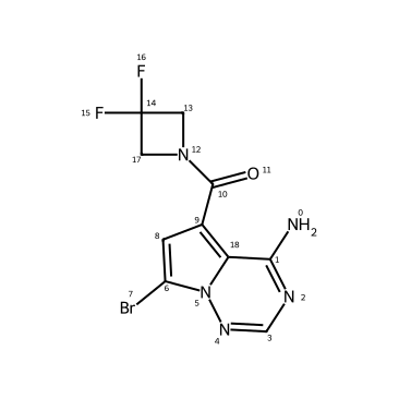 Nc1ncnn2c(Br)cc(C(=O)N3CC(F)(F)C3)c12